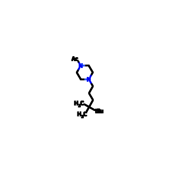 CC(=O)N1CCN(CCCC(C)(C)C(C)(C)C)CC1